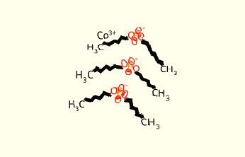 CCCCCCCOP(=O)([O-])OCCCCCCC.CCCCCCCOP(=O)([O-])OCCCCCCC.CCCCCCCOP(=O)([O-])OCCCCCCC.[Co+3]